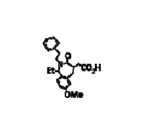 CCC1c2ccc(OC)cc2CC(CC(=O)O)C(=O)N1CCc1ccccc1